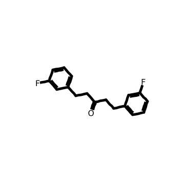 O=C(CCc1cccc(F)c1)CCc1cccc(F)c1